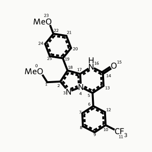 COCc1nn2c(-c3cccc(C(F)(F)F)c3)cc(=O)[nH]c2c1-c1ccc(OC)cc1